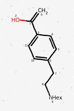 C=C(O)c1ccc(CCCCCCCC)cc1